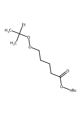 CCCCOC(=O)CCCCOOC(C)(C)CC